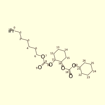 CC(C)CCCCCCOC(=O)OC1CCCCC1OC(=O)OC1CCCCC1